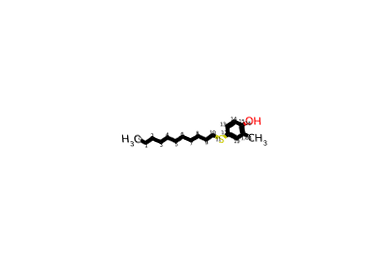 CCCCCCCCCCCSc1ccc(O)c(C)c1